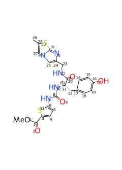 COC(=O)c1ccc(NC(=O)N[C@@H](Cc2ccc(O)cc2)C(=O)NCc2cn3cc(C)sc3n2)s1